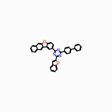 c1ccc(-c2ccc(-c3nc(-c4ccc5oc6cc7ccccc7cc6c5c4)nc(-c4cc5ccccc5o4)n3)cc2)cc1